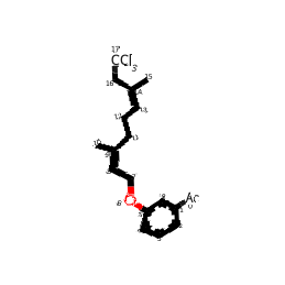 CC(=O)c1cccc(OCC=C(C)CCC=C(C)CC(Cl)(Cl)Cl)c1